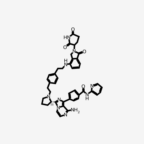 Nc1nccn2c([C@@H]3CCCN3CCc3ccc(CCNc4cccc5c4CN(C4CCC(=O)NC4=O)C5=O)cc3)nc(-c3ccc(C(=O)Nc4ccccn4)cc3)c12